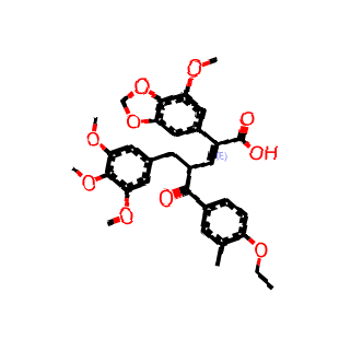 CCOc1ccc(C(=O)C(/C=C(/C(=O)O)c2cc(OC)c3c(c2)OCO3)Cc2cc(OC)c(OC)c(OC)c2)cc1C